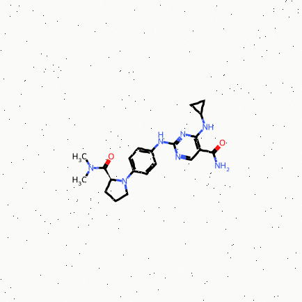 CN(C)C(=O)[C@@H]1CCCN1c1ccc(Nc2ncc(C(N)=O)c(NC3CC3)n2)cc1